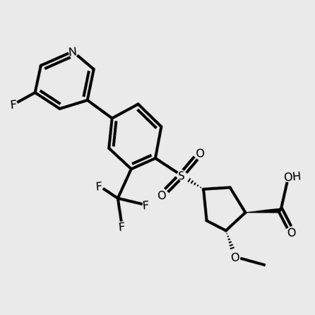 CO[C@@H]1C[C@H](S(=O)(=O)c2ccc(-c3cncc(F)c3)cc2C(F)(F)F)C[C@H]1C(=O)O